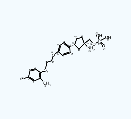 Cc1cc(F)ccc1OCCOc1ccc([C@@H]2CC[C@](N)(COP(=O)(O)O)C2)cc1